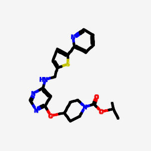 CC(C)OC(=O)N1CCC(Oc2cc(NCc3ccc(-c4ccccn4)s3)ncn2)CC1